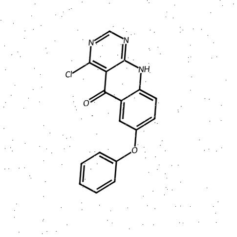 O=c1c2cc(Oc3ccccc3)ccc2[nH]c2ncnc(Cl)c12